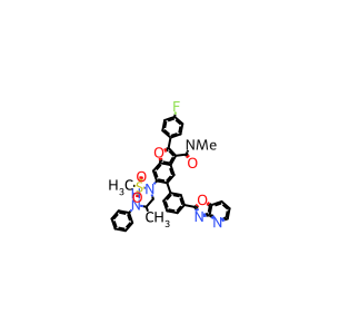 CNC(=O)c1c(-c2ccc(F)cc2)oc2cc(N(CC(C)Nc3ccccc3)S(C)(=O)=O)c(-c3cccc(-c4nc5ncccc5o4)c3)cc12